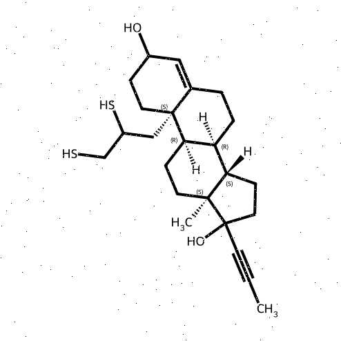 CC#CC1(O)CC[C@H]2[C@@H]3CCC4=CC(O)CC[C@]4(CC(S)CS)[C@@H]3CC[C@@]21C